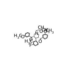 COc1cccc(C(=O)[C@H]2CN(C[C@H](C)OC)C[C@H](C(=O)c3cccc(OC)c3)C2c2cccc(F)c2C)c1